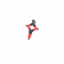 O=C1O[SiH2]O1